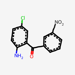 Nc1ccc(Cl)cc1C(=O)c1cccc([N+](=O)[O-])c1